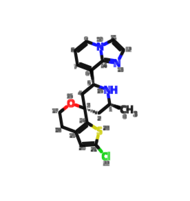 C[C@H]1C[C@@]2(C[C@@H](c3cccn4ccnc34)N1)OCCc1cc(Cl)sc12